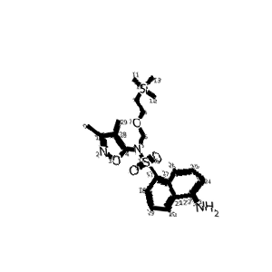 Cc1noc(N(COCC[Si](C)(C)C)S(=O)(=O)c2cccc3c(N)cccc23)c1C